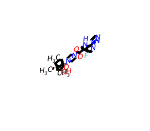 CC[C@@]12CC(C)C[C@@](C(=O)N3CCN(C(=O)C(=O)c4c[nH]c5c(-n6ccnn6)ncc(F)c45)CC3)(C[C@](C)(O)C1)C2